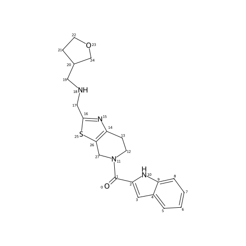 O=C(c1cc2ccccc2[nH]1)N1CCc2nc(CNCC3CCOC3)sc2C1